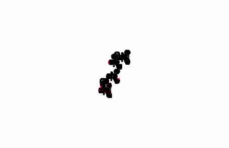 c1ccc(-c2cc(-c3ccc(-c4cccc(-c5cc(-c6cc(-c7nc(-c8ccccc8)nc(-c8ccccc8)n7)cc7oc8ccccc8c67)nc(-c6ccccc6)n5)c4)cc3)nc(-c3cccc(-c4cc(-c5cccc(-c6nc(-c7ccccc7)nc(-c7ccccc7)n6)c5)c5c(c4)oc4ccccc45)c3)n2)cc1